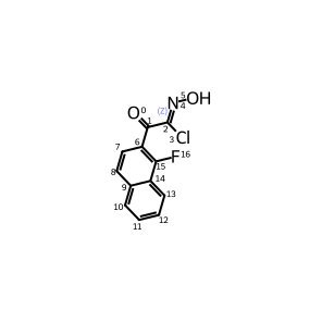 O=C(/C(Cl)=N/O)c1ccc2ccccc2c1F